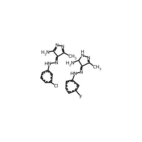 CC1=NN=C(N)C1=NNc1cccc(Cl)c1.CC1=NNC(N)C1=NNc1cccc(F)c1